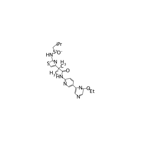 CCOc1cncc(-c2ccc(NC(=O)C(C)(C)c3csc(N[S+]([O-])CC(C)C)n3)nc2)n1